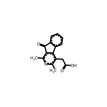 Cc1nc(C)c2c(c1CC(=O)O)-c1ccccc1C2=O